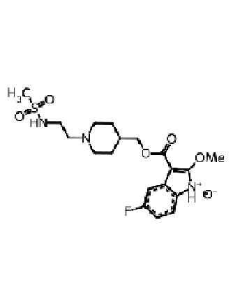 COC1=C(C(=O)OCC2CCN(CCNS(C)(=O)=O)CC2)c2cc(F)ccc2[NH+]1[O-]